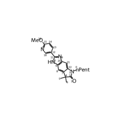 CCCCCN1C(=O)C(C)(C)c2cc3[nH]c(-c4ccc(OC)nc4)nc3cc21